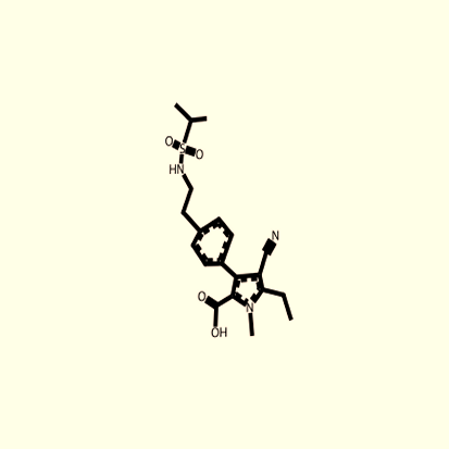 CCc1c(C#N)c(-c2ccc(CCNS(=O)(=O)C(C)C)cc2)c(C(=O)O)n1C